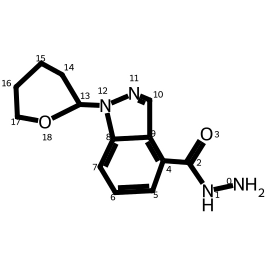 NNC(=O)c1cccc2c1cnn2C1CCCCO1